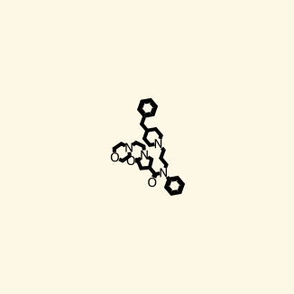 O=C1CC(C(=O)N(CCCN2CCC(Cc3ccccc3)CC2)c2ccccc2)CN1CCN1CCOCC1